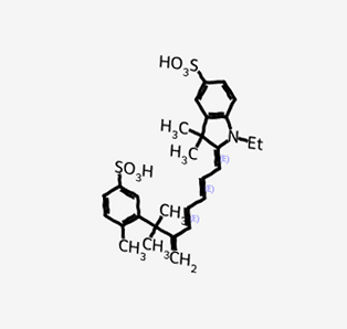 C=C(/C=C/C=C/C=C1/N(CC)c2ccc(S(=O)(=O)O)cc2C1(C)C)C(C)(C)c1cc(S(=O)(=O)O)ccc1C